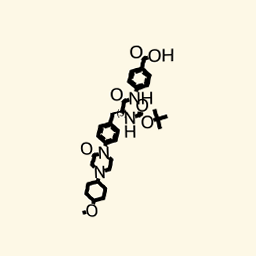 COC1CCC(N2CCN(c3ccc(C[C@H](NC(=O)OC(C)(C)C)C(=O)Nc4ccc(C(=O)O)cc4)cc3)C(=O)C2)CC1